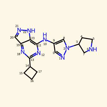 c1nn(C2CCNC2)cc1Nc1nc(C2CCC2)nc2cn[nH]c12